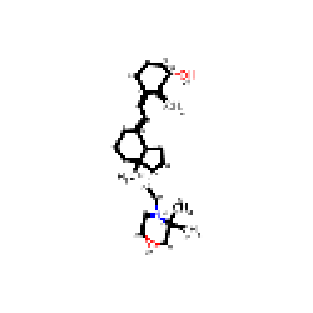 C=C1/C(=C\C=C2/CCCC3(C)C2CC[C@@H]3CCN2CCOCC2(C)C)CCC[C@@H]1O